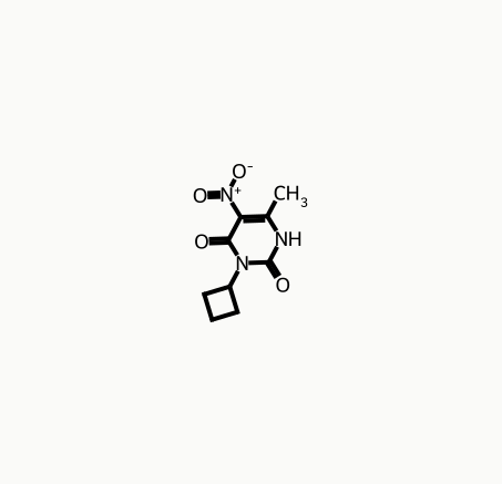 Cc1[nH]c(=O)n(C2CCC2)c(=O)c1[N+](=O)[O-]